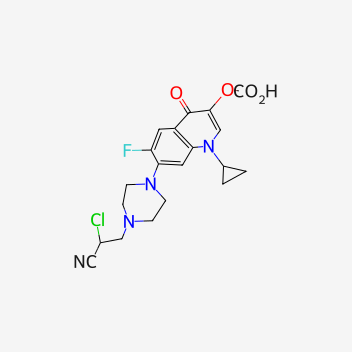 N#CC(Cl)CN1CCN(c2cc3c(cc2F)c(=O)c(OC(=O)O)cn3C2CC2)CC1